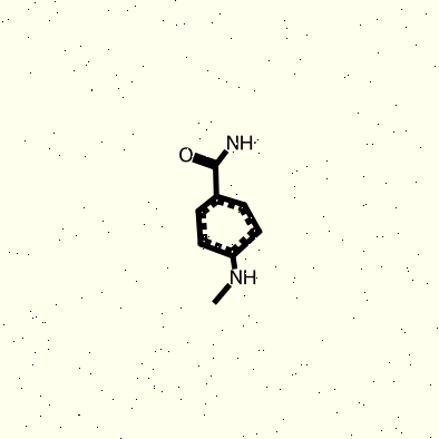 CNc1ccc(C([NH])=O)cc1